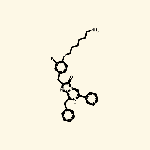 NCCCCCCOc1ccc(Cc2nc3c(Cc4ccccc4)[nH]c(-c4ccccc4)cn-3c2=O)cc1F